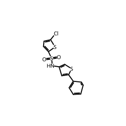 O=S(=O)(Nc1csc(-c2ccccc2)c1)c1ccc(Cl)s1